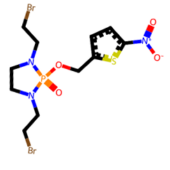 O=[N+]([O-])c1ccc(COP2(=O)N(CCBr)CCN2CCBr)s1